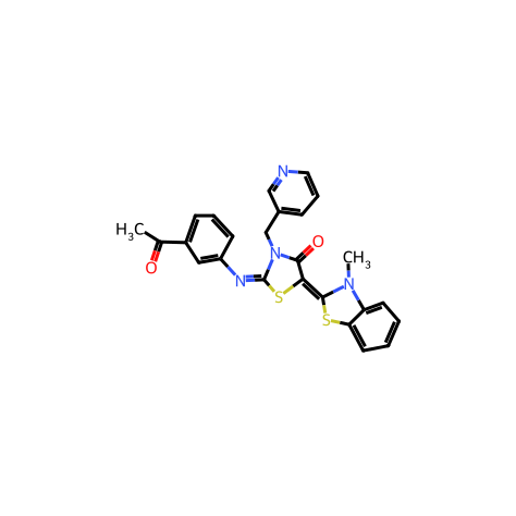 CC(=O)c1cccc(/N=C2/S/C(=C3\Sc4ccccc4N3C)C(=O)N2Cc2cccnc2)c1